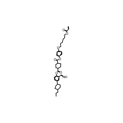 C=CC(=O)OCCCCCCOc1ccc(OC(=O)C2CCC(C(=O)Oc3ccc(C4CCC(CCC)CC4)cc3C=N)CC2)cc1